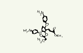 C=CC(=O)Oc1c(Oc2ccc(N)cc2)ccc(Oc2ccc(N)cc2)c1C=CC(=O)OC